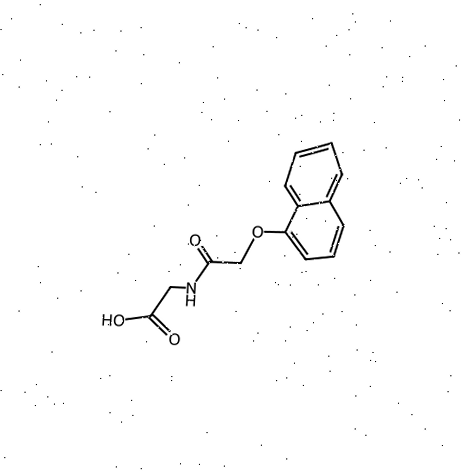 O=C(O)CNC(=O)COc1cccc2ccccc12